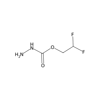 NNC(=O)OCC(F)F